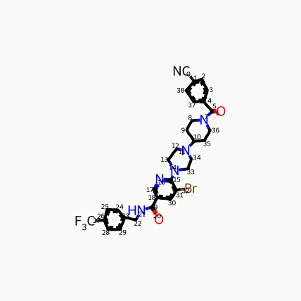 N#Cc1ccc(C(=O)N2CCC(N3CCN(c4ncc(C(=O)NCc5ccc(C(F)(F)F)cc5)cc4Br)CC3)CC2)cc1